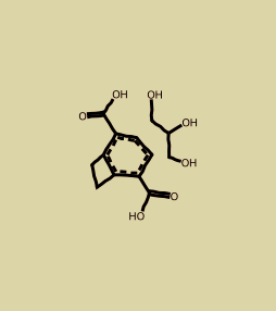 O=C(O)c1ccc(C(=O)O)c2c1CC2.OCC(O)CO